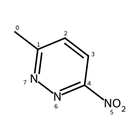 Cc1ccc([N+](=O)[O-])nn1